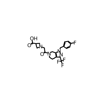 O=C(O)C1CN(CC(=O)N2CCc3c(C(F)(F)F)nn(Cc4ccc(F)cc4)c3C2)C1